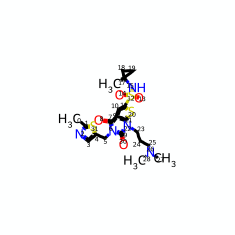 Cc1ncc(Cn2c(=O)c3cc(S(=O)(=O)NC4(C)CC4)sc3n(CCCN(C)C)c2=O)s1